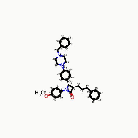 COc1ccc(N2C(=O)[C@H](CCCc3ccccc3)[C@H]2c2ccc(N3CCN(Cc4ccccc4)CC3)cc2)cc1